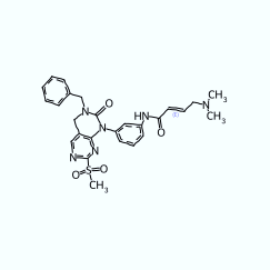 CN(C)C/C=C/C(=O)Nc1cccc(N2C(=O)N(Cc3ccccc3)Cc3cnc(S(C)(=O)=O)nc32)c1